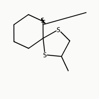 CC1CSC2(CCCCC23SCC(C)S3)S1